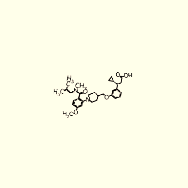 COc1ccc(C(=O)N(C)CC(C)C)c(N2CCC(COc3cccc(C(CC(=O)O)C4CC4)c3)CC2)c1